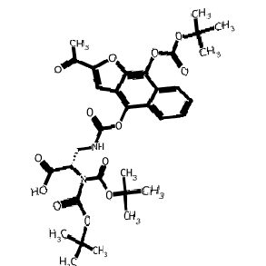 CC(=O)c1cc2c(OC(=O)NC[C@@H](C(=O)O)N(C(=O)OC(C)(C)C)C(=O)OC(C)(C)C)c3ccccc3c(OC(=O)OC(C)(C)C)c2o1